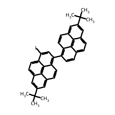 CC(C)(C)c1cc2ccc3ccc(-c4cc(I)c5ccc6cc(C(C)(C)C)cc7ccc4c5c67)c4ccc(c1)c2c34